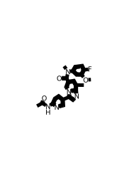 COc1cc(N(C)C(=O)c2cc(C)c3ncc(-c4ccc(NC(C)=O)nc4)n3c2)ccc1F